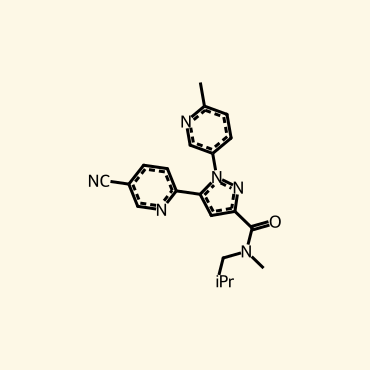 Cc1ccc(-n2nc(C(=O)N(C)CC(C)C)cc2-c2ccc(C#N)cn2)cn1